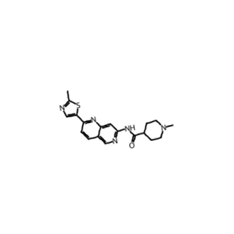 Cc1ncc(-c2ccc3cnc(NC(=O)C4CCN(C)CC4)cc3n2)s1